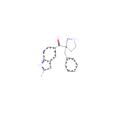 Cc1cc2cc(C(=O)C3(Cc4ccccc4)CCNC3)ccc2[nH]1